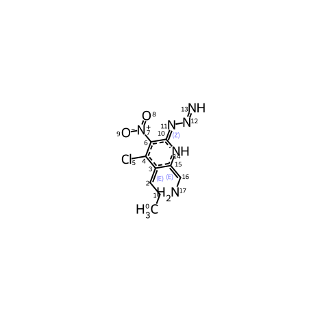 CC/C=c1/c(Cl)c([N+](=O)[O-])/c(=N/N=N)[nH]/c1=C/N